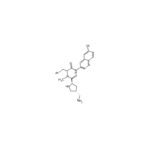 CCc1ccc2ncc(NC(=O)C(CC(C)C)N(C)C(=O)[C@H]3C[C@H](CN)CN3)cc2c1